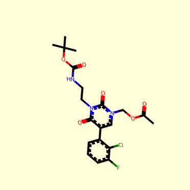 CC(=O)OCn1cc(-c2cccc(F)c2Cl)c(=O)n(CCNC(=O)OC(C)(C)C)c1=O